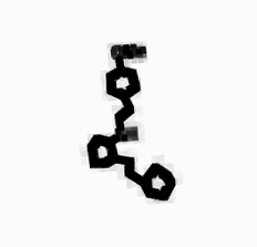 COc1ccc(C=CNc2ccccc2C=Cc2ccccc2)cc1